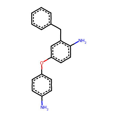 Nc1ccc(Oc2ccc(N)c(Cc3ccccc3)c2)cc1